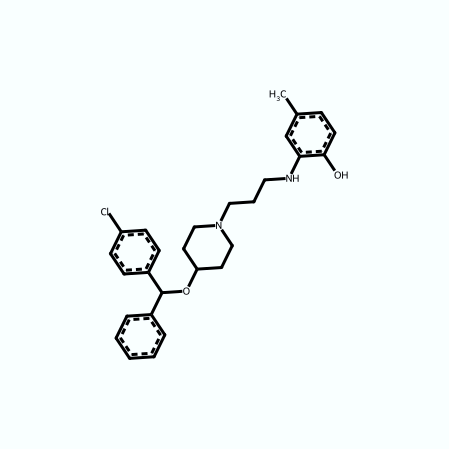 Cc1ccc(O)c(NCCCN2CCC(OC(c3ccccc3)c3ccc(Cl)cc3)CC2)c1